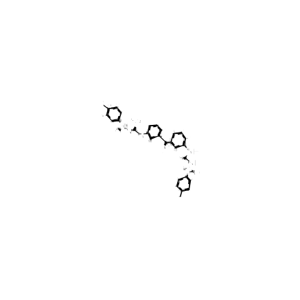 Cc1ccc(S(=O)(=O)NC(=O)Nc2cccc(C(=O)c3cccc(NC(=O)NS(=O)(=O)c4ccc(C)cc4)c3)c2)cc1